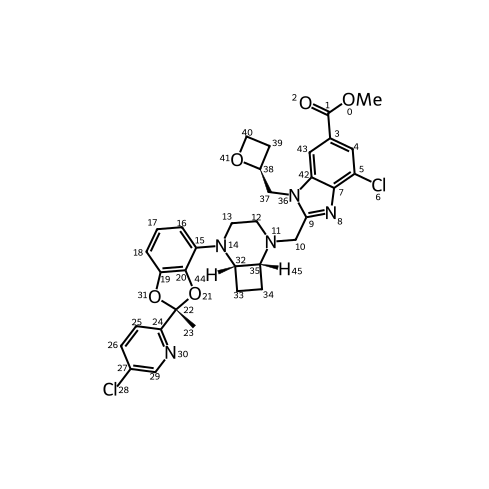 COC(=O)c1cc(Cl)c2nc(CN3CCN(c4cccc5c4O[C@](C)(c4ccc(Cl)cn4)O5)[C@H]4CC[C@H]43)n(C[C@@H]3CCO3)c2c1